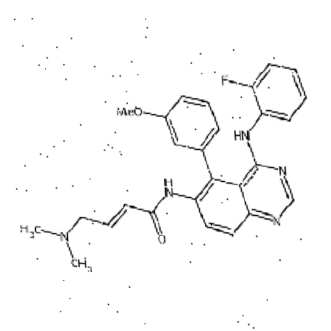 COc1cccc(-c2c(NC(=O)/C=C/CN(C)C)ccc3ncnc(Nc4ccccc4F)c23)c1